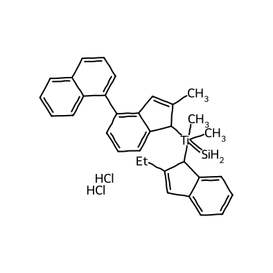 CCC1=Cc2ccccc2[CH]1[Ti]([CH3])([CH3])(=[SiH2])[CH]1C(C)=Cc2c(-c3cccc4ccccc34)cccc21.Cl.Cl